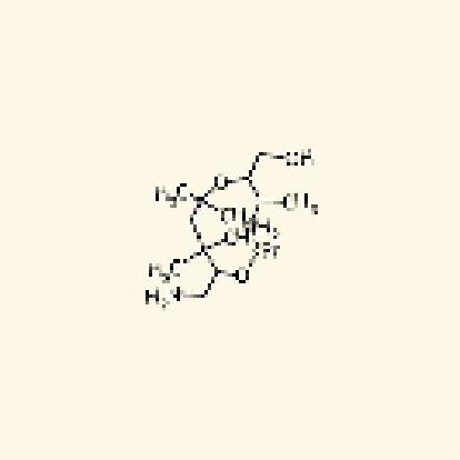 CC(C)OC(CN)C(C)(C)CC(C)(C)OC(CO)C(C)N